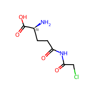 N[C@@H](CCC(=O)NC(=O)CCl)C(=O)O